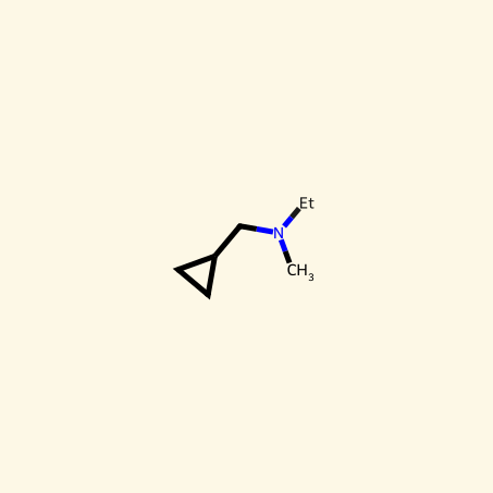 [CH2]CN(C)CC1CC1